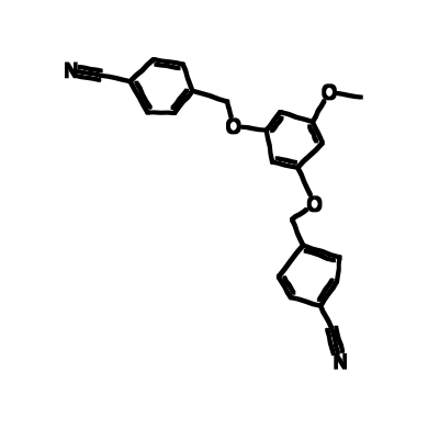 COc1cc(OCc2ccc(C#N)cc2)cc(OCc2ccc(C#N)cc2)c1